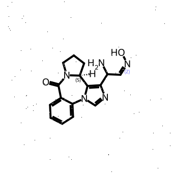 NC(/C=N\O)c1ncn2c1[C@@H]1CCCN1C(=O)c1ccccc1-2